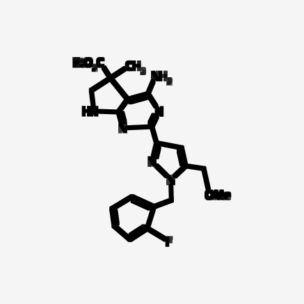 CCOC(=O)C1(C)CNc2nc(-c3cc(COC)n(Cc4ccccc4F)n3)nc(N)c21